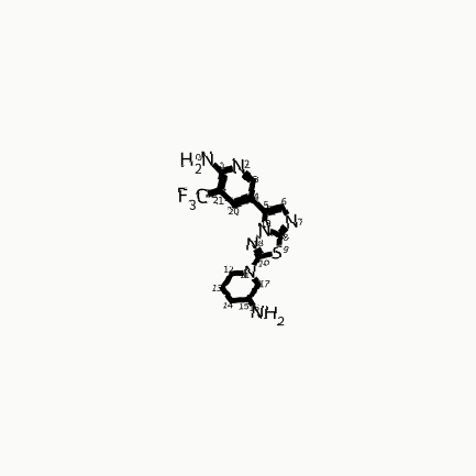 Nc1ncc(-c2cnc3sc(N4CCCC(N)C4)nn23)cc1C(F)(F)F